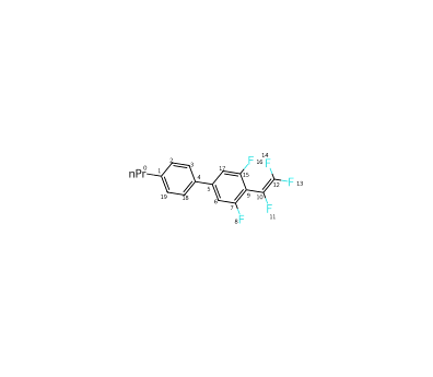 CCCc1ccc(-c2cc(F)c(C(F)=C(F)F)c(F)c2)cc1